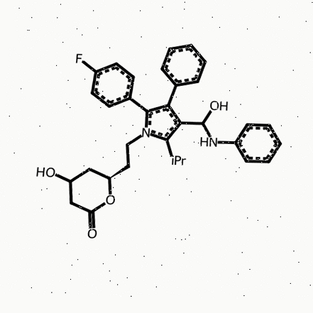 CC(C)c1c(C(O)Nc2ccccc2)c(-c2ccccc2)c(-c2ccc(F)cc2)n1CC[C@@H]1CC(O)CC(=O)O1